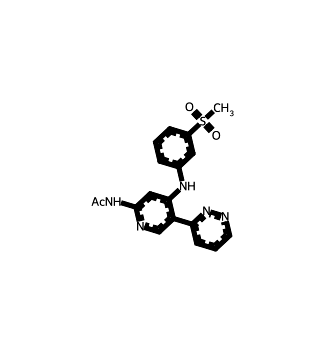 CC(=O)Nc1cc(Nc2cccc(S(C)(=O)=O)c2)c(-c2cccnn2)cn1